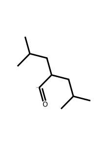 CC(C)CC([C]=O)CC(C)C